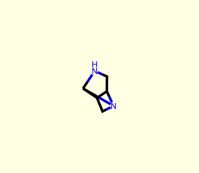 C1NC2C3CN2C13